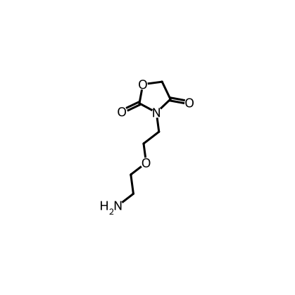 NCCOCCN1C(=O)COC1=O